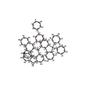 c1ccc(-c2cccc(-c3c(N(c4cccc5c4-c4ccccc4C5(c4ccccc4)c4ccccc4)c4cccc5oc6ccccc6c45)c4ccccc4c4ccccc34)c2)cc1